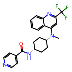 CN(c1cc(C(F)(F)F)nc2ccccc12)[C@H]1CC[C@@H](NC(=O)c2ccncc2)CC1